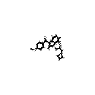 COc1ccc(C(=O)c2c(C)n3c4c(cccc24)OC(CN2CCC2)C3)cc1